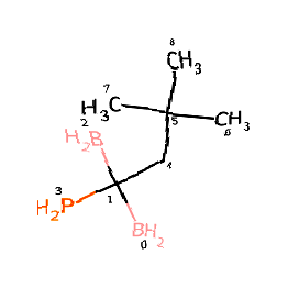 BC(B)(P)CC(C)(C)C